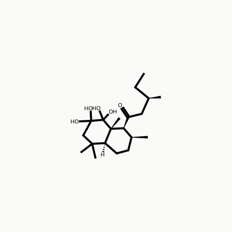 CC[C@@H](C)CC(=O)[C@H]1[C@@H](C)CC[C@H]2C(C)(C)CC(O)(O)C(O)(O)[C@]12C